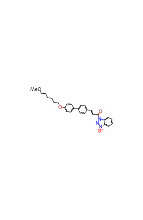 COCCCCCCOc1ccc(-c2ccc(C=CC(=O)n3n[n+]([O-])c4ccccc43)cc2)cc1